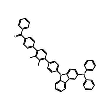 Cc1c(-c2ccc(C(=O)c3ccccc3)cc2)ccc(-c2ccc(-n3c4ccccc4c4cc(N(c5ccccc5)c5ccccc5)ccc43)cc2)c1C